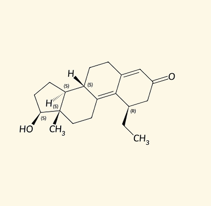 CC[C@@H]1CC(=O)C=C2CC[C@@H]3C(=C21)CC[C@]1(C)[C@@H](O)CC[C@@H]31